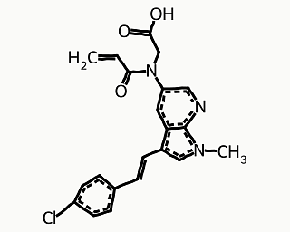 C=CC(=O)N(CC(=O)O)c1cnc2c(c1)c(C=Cc1ccc(Cl)cc1)cn2C